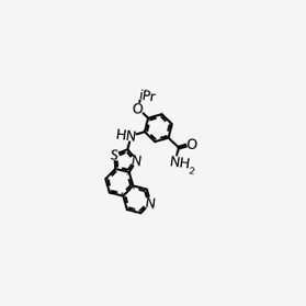 CC(C)Oc1ccc(C(N)=O)cc1Nc1nc2c(ccc3ccncc32)s1